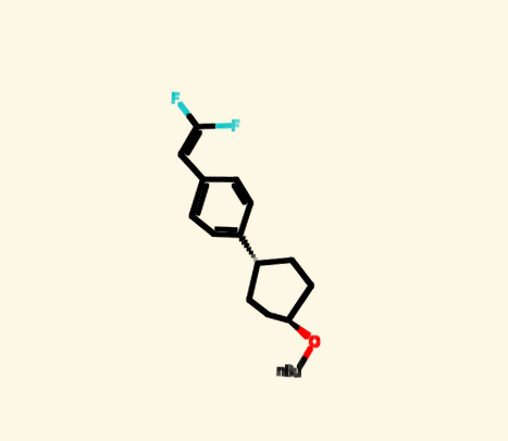 CCCCO[C@H]1CC[C@H](c2ccc(C=C(F)F)cc2)CC1